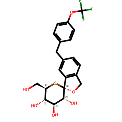 OC[C@H]1S[C@]2(OCc3ccc(Cc4ccc(OC(F)(F)F)cc4)cc32)[C@H](O)[C@@H](O)[C@@H]1O